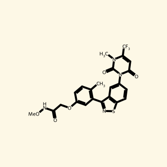 CONC(=O)COc1ccc(C)c(-c2nsc3ccc(-n4c(=O)cc(C(F)(F)F)n(C)c4=O)cc23)c1